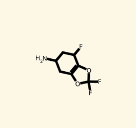 NC1CC2=C(OC(F)(F)O2)C(F)C1